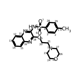 Cc1ccc(S(=O)(=O)Nc2nc3ccccc3nc2OCCN2CCOCC2)cc1